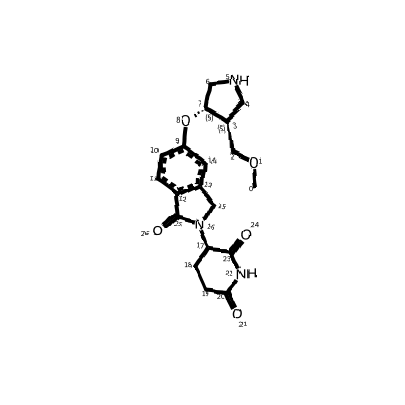 COC[C@@H]1CNC[C@H]1Oc1ccc2c(c1)CN(C1CCC(=O)NC1=O)C2=O